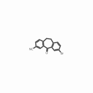 N#Cc1ccc2c(c1)C(=O)c1cc(Br)ccc1CC2